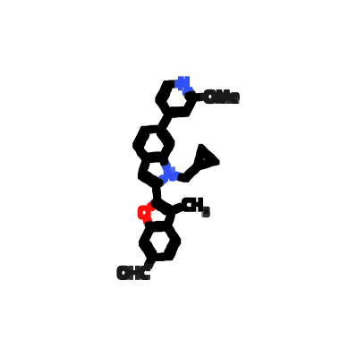 COc1cc(-c2ccc3cc(-c4oc5cc(C=O)ccc5c4C)n(CC4CC4)c3c2)ccn1